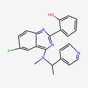 CC(c1ccncc1)N(C)c1nc(-c2ccccc2O)nc2ccc(F)cc12